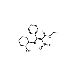 CCOC(=O)C(=C(NC1CCCCC1O)c1ccccc1)[N+](=O)[O-]